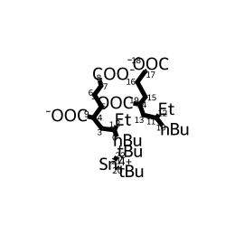 CCCCC(CC)CC(CCCC(=O)[O-])C(=O)[O-].CCCCC(CC)CC(CCCC(=O)[O-])C(=O)[O-].C[C](C)(C)[Sn+4][C](C)(C)C